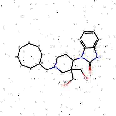 O=c1[nH]c2ccccc2n1C1CCN(CC2CCCCCCC2)CC1(CO)CO